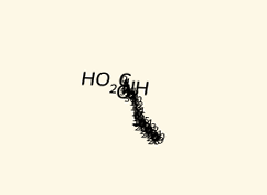 O=C(O)CCNC(=O)c1ccc(CCCCCCCSc2ccc(-c3ccc(C4CCCCC4)cc3)cc2)cc1